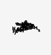 COc1cc(N[C@H](C)C(F)(F)F)ccc1-n1c(C(C)(C)C)nc(C(=O)NCC2CCC(S(C)(=O)=O)CC2)c1Cl